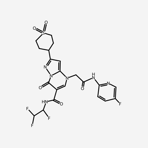 O=C(Cn1cc(C(=O)NC(F)C(F)F)c(=O)n2nc(C3CCS(=O)(=O)CC3)cc12)Nc1ccc(F)cn1